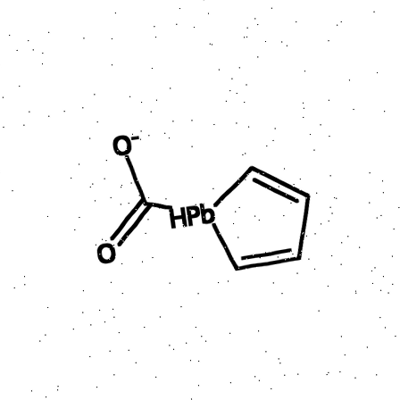 O=[C]([O-])[PbH]1[CH]=CC=[CH]1